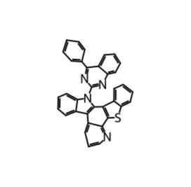 c1ccc(-c2nc(-n3c4ccccc4c4c5cccnc5c5sc6ccccc6c5c43)nc3ccccc23)cc1